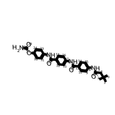 CC(C)(C)CC(=O)Nc1ccc(C(=O)Nc2ccc(C(=O)Nc3ccc(OC(N)=O)cc3)cc2)cc1